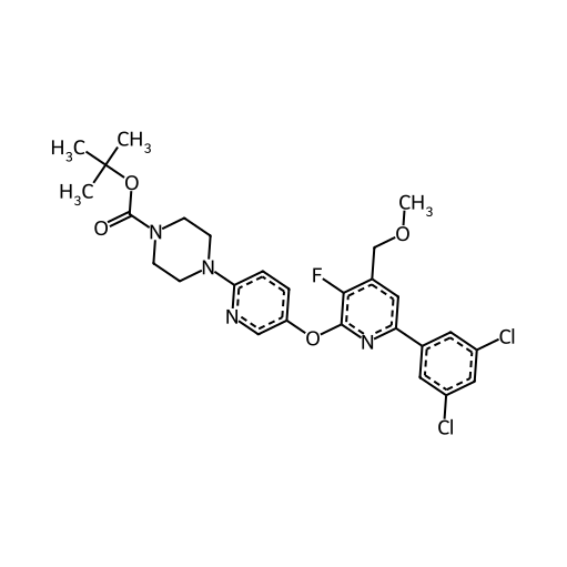 COCc1cc(-c2cc(Cl)cc(Cl)c2)nc(Oc2ccc(N3CCN(C(=O)OC(C)(C)C)CC3)nc2)c1F